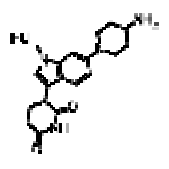 Cl.Cn1cc(C2CCC(=O)NC2=O)c2ccc(N3CCC(N)CC3)cc21